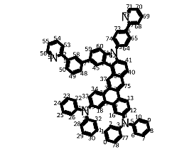 c1ccc(N(c2ccccc2)c2ccc3c(c2)c2cc(N(c4ccccc4)c4ccccc4)ccc2c2cc4c(ccc5c4c4cc(-c6cccc(-c7ccccn7)c6)ccc4n5-c4ccc(-c5ccccn5)cc4)cc32)cc1